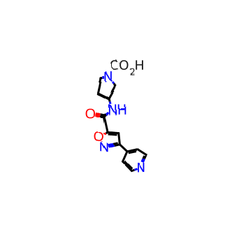 O=C(NC1CCN(C(=O)O)C1)c1cc(-c2ccncc2)no1